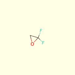 FC1(F)CO1